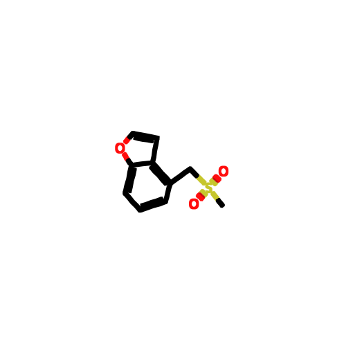 CS(=O)(=O)Cc1cccc2occc12